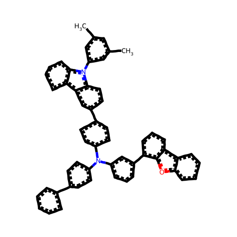 Cc1cc(C)cc(-n2c3ccccc3c3cc(-c4ccc(N(c5ccc(-c6ccccc6)cc5)c5cccc(-c6cccc7c6oc6ccccc67)c5)cc4)ccc32)c1